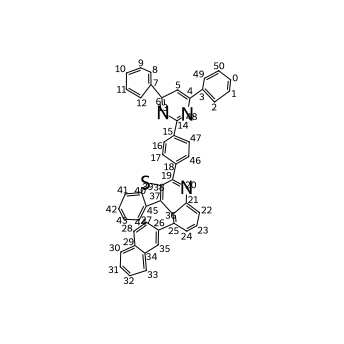 c1ccc(-c2cc(-c3ccccc3)nc(-c3ccc(-c4nc5cccc(-c6ccc7ccccc7c6)c5c5c4sc4ccccc45)cc3)n2)cc1